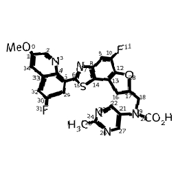 COc1cnc2c(-c3nc4cc(F)c5c(c4s3)CC(CN(C(=O)O)c3cnc(C)nc3)O5)cc(F)cc2c1